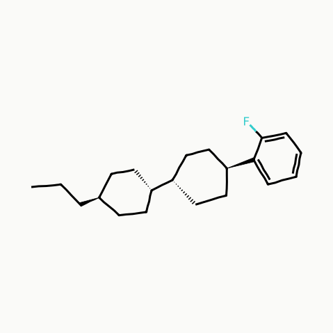 CCC[C@H]1CC[C@H]([C@H]2CC[C@H](c3ccccc3F)CC2)CC1